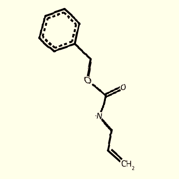 C=CC[N]C(=O)OCc1ccccc1